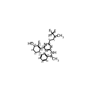 C[C@H](Nc1nc(CC[C@H](C)C(F)(F)F)nc(C2=C(F)C(O)CCC2)n1)c1ccccc1